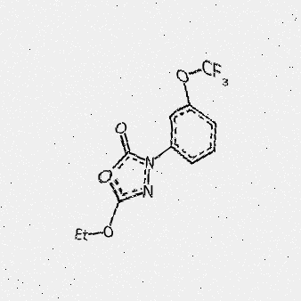 CCOc1nn(-c2cccc(OC(F)(F)F)c2)c(=O)o1